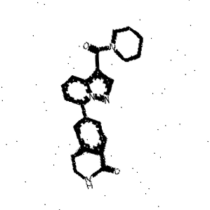 O=C1NCCc2cc(-c3cccc4c(C(=O)N5CCCCC5)cnn34)ccc21